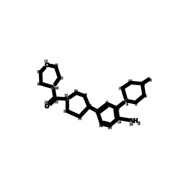 CC1CCN(c2cc(C3CCN(C(=O)N4CCOCC4)CC3)ccc2N)CC1